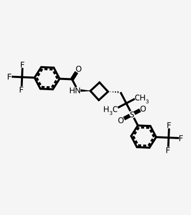 CC(C)(C[C@H]1C[C@H](NC(=O)c2ccc(C(F)(F)F)cc2)C1)S(=O)(=O)c1cccc(C(F)(F)F)c1